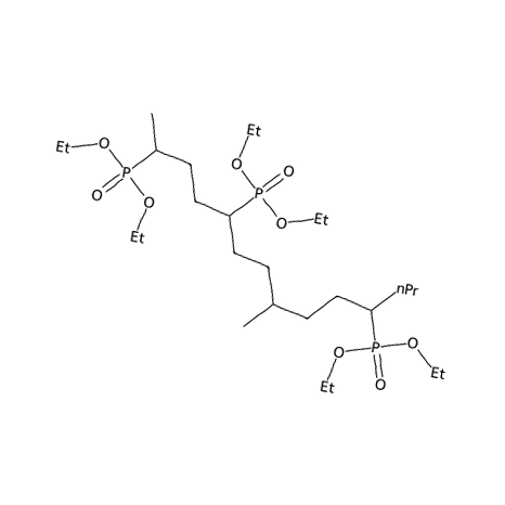 CCCC(CCC(C)CCC(CCC(C)P(=O)(OCC)OCC)P(=O)(OCC)OCC)P(=O)(OCC)OCC